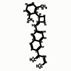 C=C(/N=C\C)c1ccc2nc(/N=C3\SCN3c3c(C)cccc3C)ncc2c1